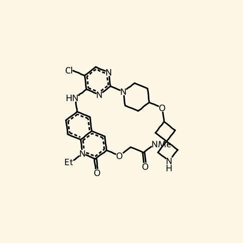 CCn1c(=O)c(OCC(=O)NC)cc2cc(Nc3nc(N4CCC(OC5CC6(CNC6)C5)CC4)ncc3Cl)ccc21